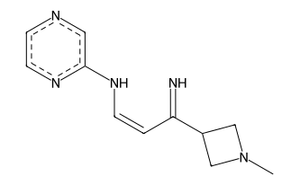 CN1CC(C(=N)/C=C\Nc2cnccn2)C1